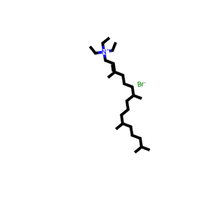 CC[N+](CC)(CC)C/C=C(\C)CCCC(C)CCCC(C)CCCC(C)C.[Br-]